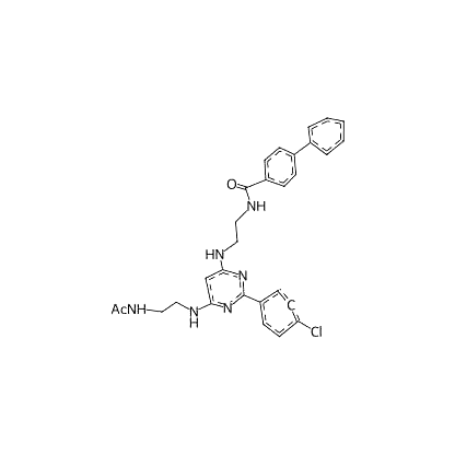 CC(=O)NCCNc1cc(NCCNC(=O)c2ccc(-c3ccccc3)cc2)nc(-c2ccc(Cl)cc2)n1